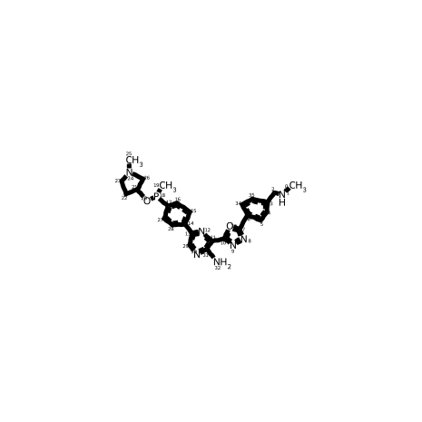 CNCc1ccc(-c2nnc(-c3nc(-c4ccc(P(C)OC5CCN(C)C5)cc4)cnc3N)o2)cc1